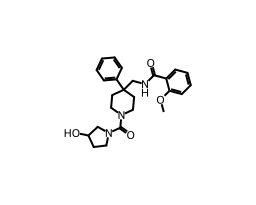 COc1ccccc1C(=O)NCC1(c2ccccc2)CCN(C(=O)N2CCC(O)C2)CC1